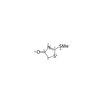 CSC1=NC(=O)CS1